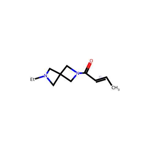 C/C=C/C(=O)N1CC2(CN(CC)C2)C1